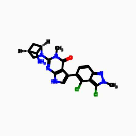 Cn1nc2ccc(-c3c[nH]c4nc(N5C[C@H]6C[C@@H]5C6N)n(C)c(=O)c34)c(Cl)c2c1Cl